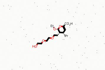 CCO[C@@H]1OC(C(=O)O)=C[C@H](C(C)C)[C@@H]1CCOCCOCCO